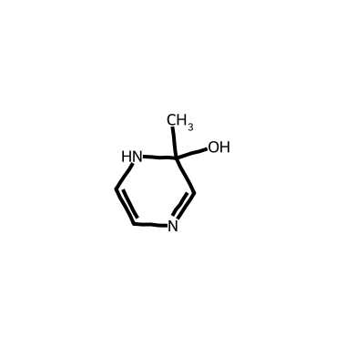 CC1(O)C=NC=CN1